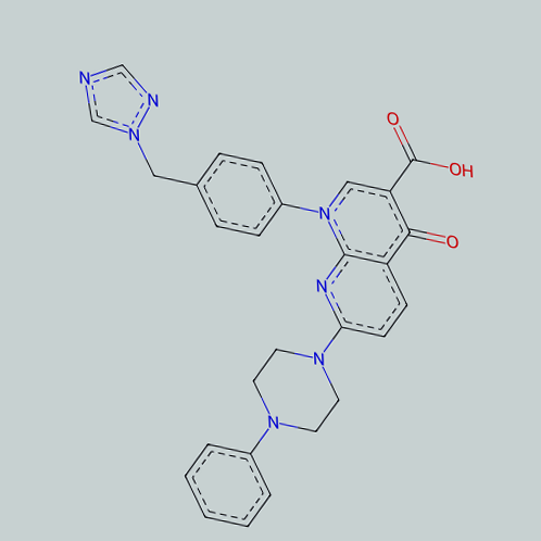 O=C(O)c1cn(-c2ccc(Cn3cncn3)cc2)c2nc(N3CCN(c4ccccc4)CC3)ccc2c1=O